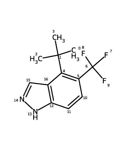 CC(C)(C)c1c(C(F)(F)F)ccc2[nH]ncc12